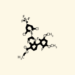 CCOC(=O)c1ccc(-c2c(F)c(OC)cc(OC)c2F)c2nccnc12.F[B-](F)(F)F.F[n+]1c(Cl)cccc1Cl